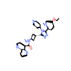 CCOc1ccc(-c2nnc([C@H]3C[C@H](NC(=O)c4ccnc5cccnc45)C3)n2-c2ccncc2)nc1